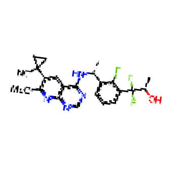 COc1nc2ncnc(N[C@H](C)c3cccc(C(F)(F)[C@@H](C)O)c3F)c2cc1C1(C#N)CC1